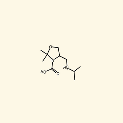 CC(C)NCC1COC(C)(C)N1C(=O)O